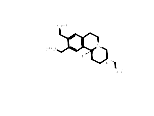 CC(C)C[C@H]1CC[C@@H]2c3cc(CO)c(CO)cc3CCN2C1